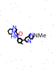 CNc1cc2ncc(-c3cc(NC(=O)c4cnc5n4CCCC5)ccc3C)cc2cn1